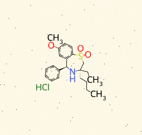 CCCC[C@@]1(CC)CS(=O)(=O)c2ccc(OC)cc2[C@H](c2ccccc2)N1.Cl